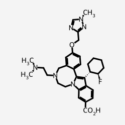 CN(C)CCN1CCn2c(c([C@@H]3CCCC[C@H]3F)c3ccc(C(=O)O)cc32)-c2ccc(OCc3ncn(C)n3)cc2C1